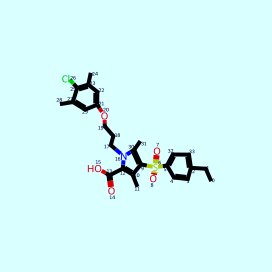 CCc1ccc(S(=O)(=O)c2c(C)c(C(=O)O)n(CCCOc3cc(C)c(Cl)c(C)c3)c2C)cc1